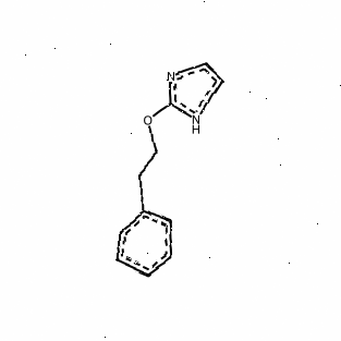 c1ccc(CCOc2ncc[nH]2)cc1